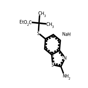 CCOC(=O)C(C)(C)Sc1ccc2nc(N)sc2c1.[NaH]